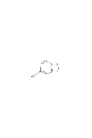 Clc1ccc2c(c1)CS2